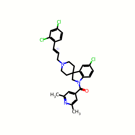 Cc1cc(C(=O)N2CC3(CCN(C/C=C/c4ccc(Cl)cc4Cl)CC3)c3cc(Cl)ccc32)cc(C)n1